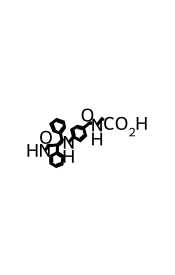 O=C(O)CNC(=O)c1ccc(NC(=C2C(=O)Nc3ccccc32)c2ccccc2)cc1